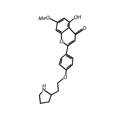 COc1cc(O)c2c(=O)cc(-c3ccc(OCCC4CCCN4)cc3)oc2c1